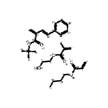 C=C(C)C(=O)OCCO.C=C(C=Cc1ccccc1)C(=O)OC(C)(C)C.C=CC(=O)OCCCC